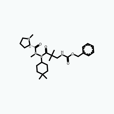 CN1CCC[C@H]1C(=O)N(C)N(C(=O)C(C)(C)CNC(=O)OCc1ccccc1)C1CCC(C)(C)CC1